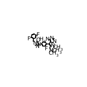 CN(C)Cc1c(-c2ccc(-n3ncn(Cc4cc(F)ccc4F)c3=O)cc2F)c2c(N)ncnc2n1C